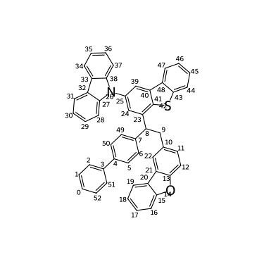 c1ccc(-c2ccc(C(Cc3ccc4oc5ccccc5c4c3)c3cc(-n4c5ccccc5c5ccccc54)cc4c3sc3ccccc34)cc2)cc1